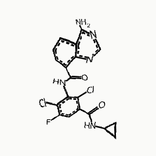 Nc1ncnc2c(C(=O)Nc3c(Cl)c(F)cc(C(=O)NC4CC4)c3Cl)cccc12